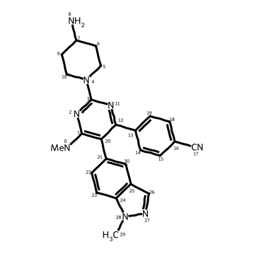 CNc1nc(N2CCC(N)CC2)nc(-c2ccc(C#N)cc2)c1-c1ccc2c(cnn2C)c1